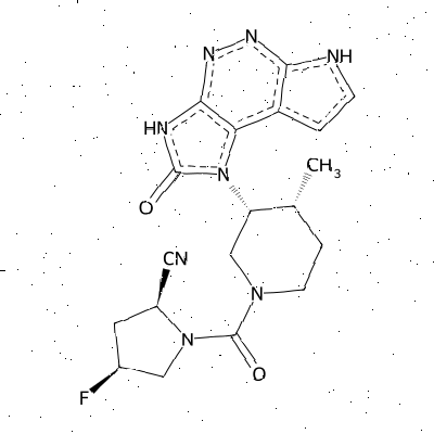 C[C@@H]1CCN(C(=O)N2C[C@@H](F)C[C@H]2C#N)C[C@@H]1n1c(=O)[nH]c2nnc3[nH]ccc3c21